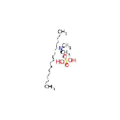 CCCCCCCCCCCCC(CCCCC)N(C)C.O=S(=O)(O)O